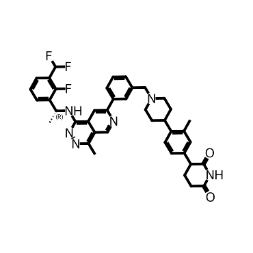 Cc1cc(C2CCC(=O)NC2=O)ccc1C1CCN(Cc2cccc(-c3cc4c(N[C@H](C)c5cccc(C(F)F)c5F)nnc(C)c4cn3)c2)CC1